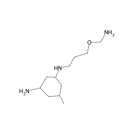 CC1CC(N)CC(NCCCOCN)C1